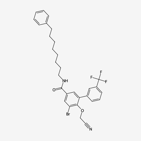 N#CCOc1c(Br)cc(C(=O)NCCCCCCCCc2ccccc2)cc1-c1cccc(C(F)(F)F)c1